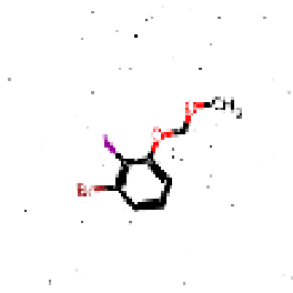 COCOc1cccc(Br)c1I